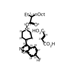 CCCCCCCCC(CC)C(=O)ON1CCC(c2noc3cc(F)ccc23)CC1.O=C(O)C=CC(=O)O